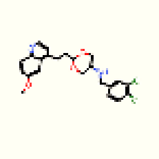 COc1ccc2nccc(CCC3OCC(NCc4ccc(Cl)c(Cl)c4)CO3)c2c1